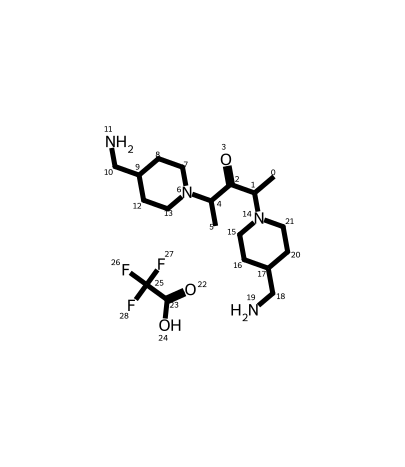 CC(C(=O)C(C)N1CCC(CN)CC1)N1CCC(CN)CC1.O=C(O)C(F)(F)F